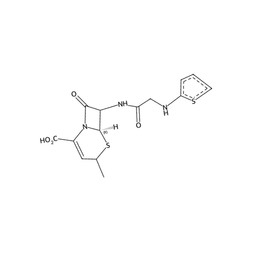 CC1C=C(C(=O)O)N2C(=O)C(NC(=O)CNc3cccs3)[C@H]2S1